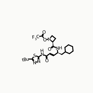 CC(C)(C)c1nnc(NC(=O)/C=C/[C@H](CC2CCCCC2)NC(=O)[C@@H]2CCN2OC(=O)C(F)(F)F)s1